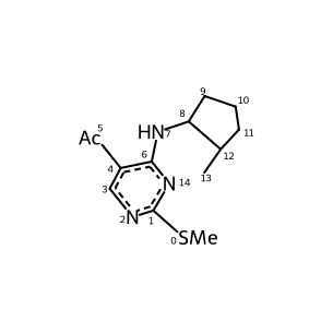 CSc1ncc(C(C)=O)c(NC2CCCC2C)n1